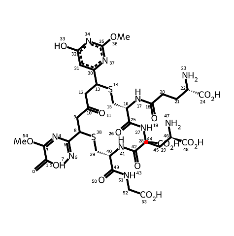 C=C(O)/C(=N\C(=N/C)C(CC(=O)CC(SC[C@H](NC(=O)CC[C@H](N)C(=O)O)C(=O)NCC(=O)O)c1cc(O)nc(OC)n1)SC[C@H](NC(=O)CC[C@@H](N)C(=O)O)C(=O)NCC(=O)O)OC